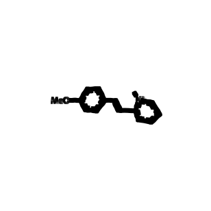 COc1ccc(/C=C/c2cccc[n+]2C)cc1